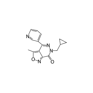 Cc1onc2c(=O)n(CC3CC3)nc(-c3cccnc3)c12